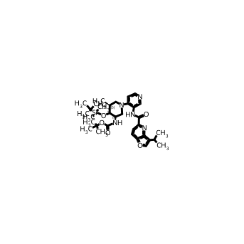 CC(C)c1coc2ccc(C(=O)Nc3cnccc3N3C[C@H](C)C(O[Si](C)(C)C(C)(C)C)[C@H](NC(=O)OC(C)(C)C)C3)nc12